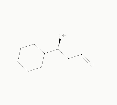 C=CC[C@H](O)C1CCCCC1